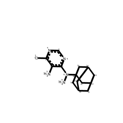 Nc1c(Cl)ncnc1N(N)C12CC3CC(CC(C3)C1)C2